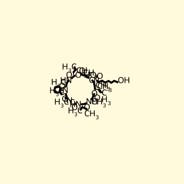 C/C=C(\C)[C@H]1OC(=O)[C@@H](C)NC(=O)[C@H](C(C)CC)NC(=O)CN(C)C(=O)[C@@H](Cc2ccccc2)N(C)C(=O)[C@H](C)NC(=O)[C@@H](CC(C)C)OC(=O)/C(C)=C/C[C@H](N(CCCCCCCO)C(=O)O)[C@@H]1C